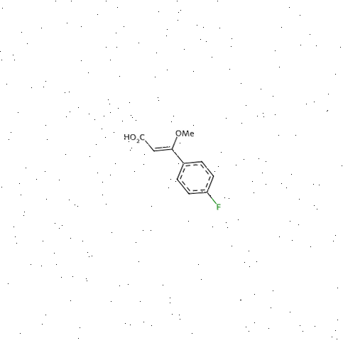 COC(=CC(=O)O)c1ccc(F)cc1